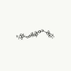 C=C(C)C(=O)OCCCCOc1ccc(C(=O)Oc2cc(F)c(OC(=O)c3ccc(OCCCCOC(=O)C(=C)C)cc3)cc2F)cc1